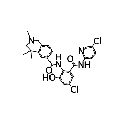 CN1Cc2ccc(C(=O)Nc3c(O)cc(Cl)cc3C(=O)Nc3ccc(Cl)cn3)cc2C(C)(C)C1